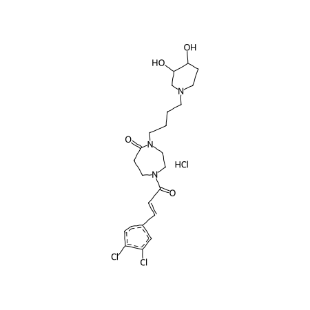 Cl.O=C(C=Cc1ccc(Cl)c(Cl)c1)N1CCC(=O)N(CCCCN2CCC(O)C(O)C2)CC1